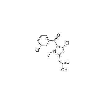 CCn1c(CC(=O)O)cc(Cl)c1C(=O)c1cccc(Cl)c1